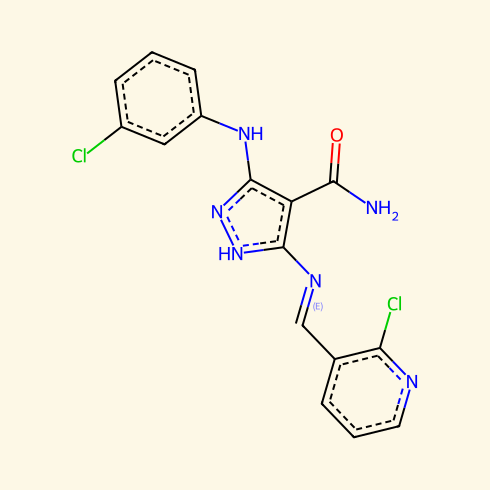 NC(=O)c1c(Nc2cccc(Cl)c2)n[nH]c1/N=C/c1cccnc1Cl